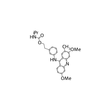 COc1ccc2c(Nc3cccc(CCOC(=O)NC(C)C)c3)c3cc(C)c(OC)cc3nc2c1